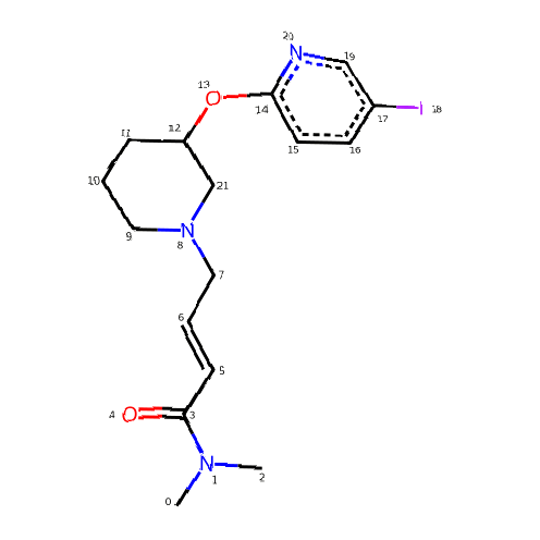 CN(C)C(=O)C=CCN1CCCC(Oc2ccc(I)cn2)C1